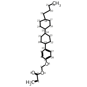 C=CC(=O)OCOc1ccc(C2CCC(C3CCC(CCCC)CC3)CC2)cc1